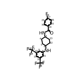 O=C(NC1CCC(Nc2cc(C(F)(F)F)cc(C(F)(F)F)c2)CC1)c1ccc(F)cc1